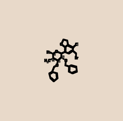 CC[C@H]1OC(c2cc(CBr)c(Cl)c3c2OCC3)[C@H](OCc2ccccc2)[C@@H](OCc2ccccc2)[C@@H]1C